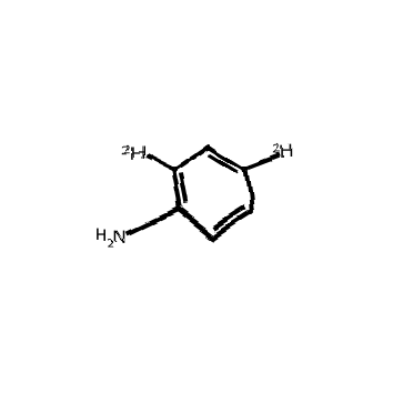 [2H]c1ccc(N)c([2H])c1